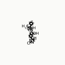 C[C@H](O)[C@@H](NC(=O)CN1Cc2ccc(-c3nc(Cl)ncc3Cl)cc2C1O)c1ccccc1